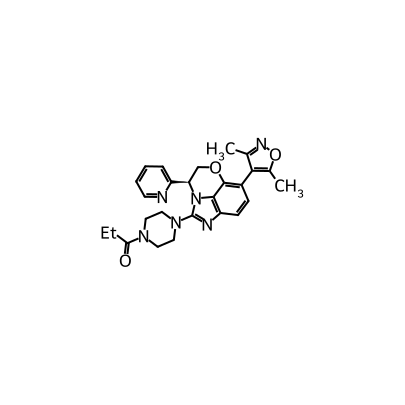 CCC(=O)N1CCN(c2nc3ccc(-c4c(C)noc4C)c4c3n2[C@@H](c2ccccn2)CO4)CC1